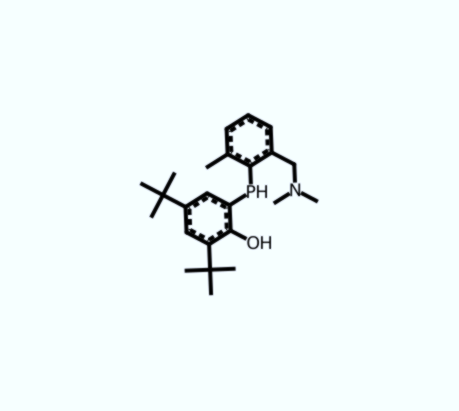 Cc1cccc(CN(C)C)c1Pc1cc(C(C)(C)C)cc(C(C)(C)C)c1O